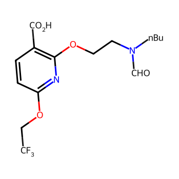 CCCCN(C=O)CCOc1nc(OCC(F)(F)F)ccc1C(=O)O